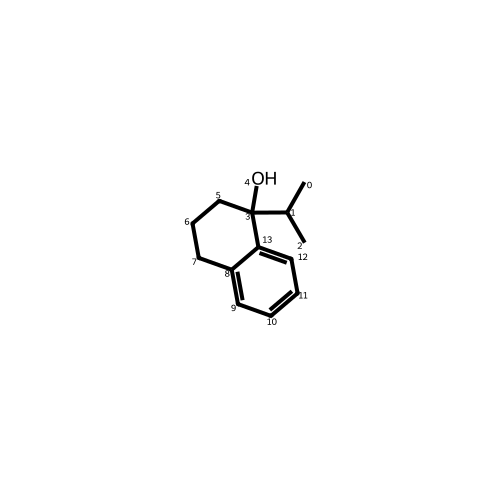 CC(C)C1(O)CCCc2ccccc21